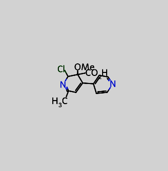 COC1(C(=O)O)C(c2ccncc2)=CC(C)=NC1Cl